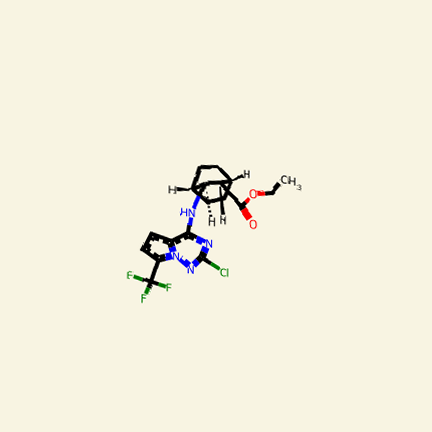 CCOC(=O)[C@H]1[C@H]2CC[C@H](CC2)[C@@H]1Nc1nc(Cl)nn2c(C(F)(F)F)ccc12